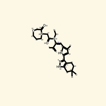 C=C(C)/C(=C\c1[nH]c(-c2n[nH]c3c2CCC(C)(C)C3)cc1C)N(CC)C(=O)CN1CCCOCC1=O